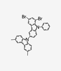 Cc1ccc2c(c1)c1cc(C)ccc1n2-c1ccc2c(c1)c1cc(Br)cc(Br)c1n2-c1ccccc1